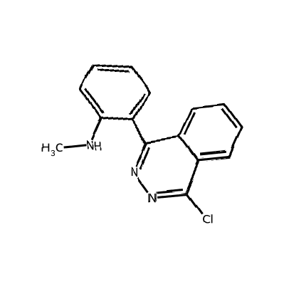 CNc1ccccc1-c1nnc(Cl)c2ccccc12